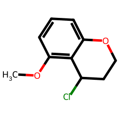 COc1cccc2c1C(Cl)CCO2